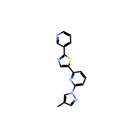 Cc1cnn(-c2cccc(-c3cnc(-c4cccnc4)s3)n2)c1